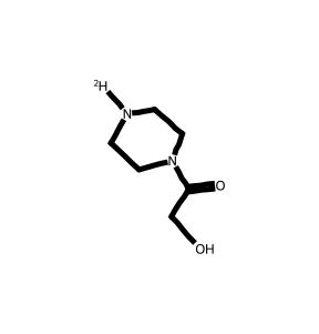 [2H]N1CCN(C(=O)CO)CC1